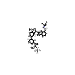 C=N/C(C)=C\N(C)c1cccc2[nH]c(-c3n[nH]c4ccc(-c5cncc(NC(O)CC(C)(C)C)c5)cc34)nc12